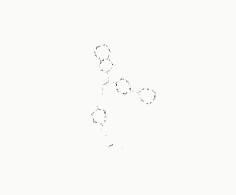 Cc1cc(SC/C=C(\c2ccc(-c3ccccc3)cc2)c2cc3ccccc3s2)ccc1OCC(=O)O